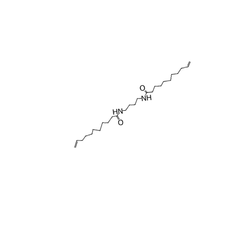 C=CCCCCCCCCC(=O)NCCCCNC(=O)CCCCCCCCC=C